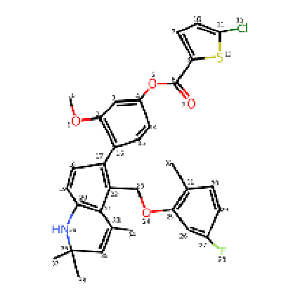 COc1cc(OC(=O)c2ccc(Cl)s2)ccc1-c1ccc2c(c1COc1cc(F)ccc1C)C(C)=CC(C)(C)N2